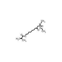 C=C(C)C(=O)OCCCCCCCC(=O)CP(=O)(OCC)OCC